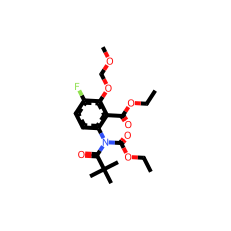 CCOC(=O)c1c(N(C(=O)OCC)C(=O)C(C)(C)C)ccc(F)c1OCOC